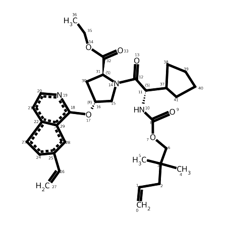 C=CCC(C)(C)COC(=O)N[C@H](C(=O)N1C[C@H](Oc2nccc3ccc(C=C)cc23)C[C@H]1C(=O)OCC)C1CCCC1